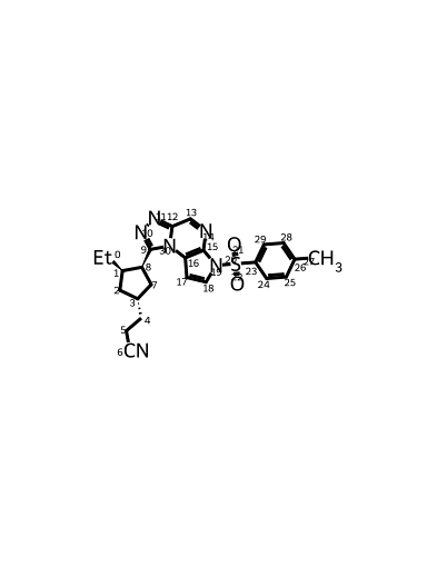 CC[C@@H]1C[C@@H](CCC#N)C[C@@H]1c1nnc2cnc3c(ccn3S(=O)(=O)c3ccc(C)cc3)n12